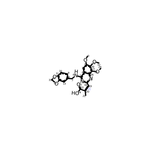 COc1cc2c(NCc3ccc4c(c3)OCO4)nc(/C=C(/C)C(=O)O)nc2c(OC)c1OC